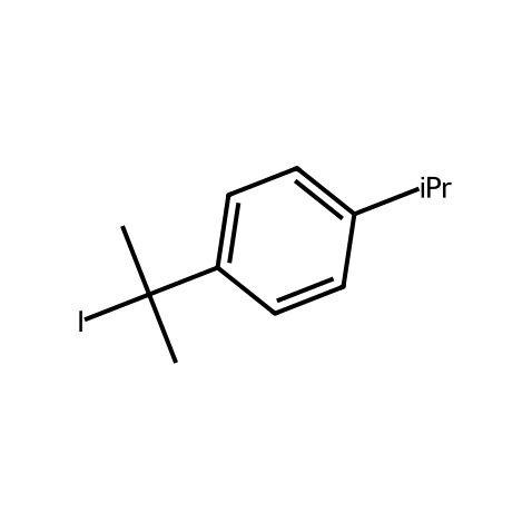 CC(C)c1ccc(C(C)(C)I)cc1